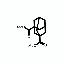 COC(=O)C12C[C]3CC(C1)CC(C(=O)OC)(C3)C2